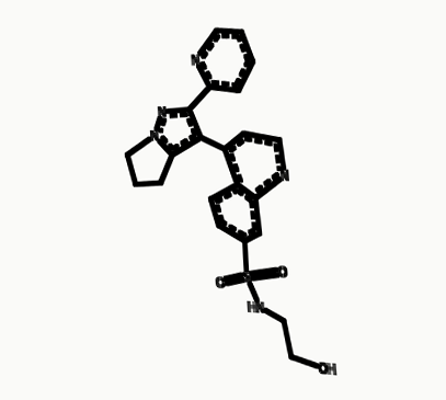 O=S(=O)(NCCO)c1ccc2c(-c3c(-c4ccccn4)nn4c3CCC4)ccnc2c1